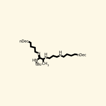 CCCCCCCCCCCCCCN=C(NC(C)(C)C)C(C)NCCCNCCCCCCCCCCCCCC